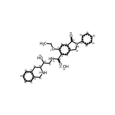 CCOc1cc2c(cc1C(=O)NCC(O)C1Cc3ccccc3CN1)CN(c1ccccc1)C2=O.Cl